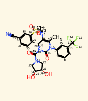 [C-]#[N+]C1=C(C)N(c2cccc(C(F)(F)F)c2)C(=O)N(C(=O)N2C[C@H](O)[C@@H](O)C2)[C@@H]1c1ccc(C#N)cc1S(C)(=O)=O